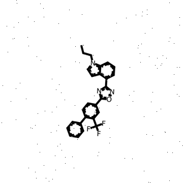 [CH2]C[CH]n1ccc2c(-c3noc(-c4ccc(-c5ccccc5)c(C(F)(F)F)c4)n3)cccc21